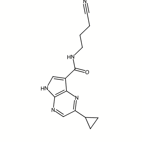 N#CCCCNC(=O)c1c[nH]c2ncc(C3CC3)nc12